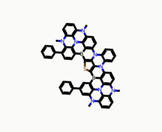 CN1c2cc(-c3ccccc3)cc3c2N2c4c1cccc4N(C)c1ccc4c(c12)B3c1sc2c3c1N4c1ccccc1N3c1ccc3c4c1B2c1ccc(-c2ccccc2)c2c1N4c1c(cccc1N2C)N3C